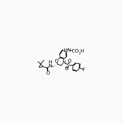 CC1(C)CC1C(=O)NC[C@H]1CN(S(=O)(=O)c2ccc(F)cc2)c2cc(NC(=O)O)ccc2O1